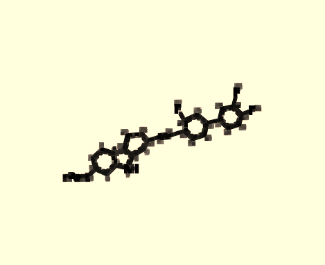 CCCCCc1ccc2c(c1)[nH]c1cc(C#Cc3ccc(-c4ccc(F)c(F)c4)cc3F)ccc12